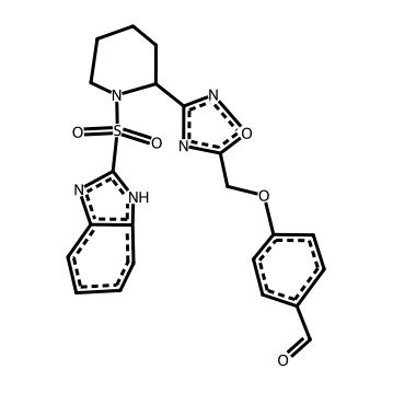 O=Cc1ccc(OCc2nc(C3CCCCN3S(=O)(=O)c3nc4ccccc4[nH]3)no2)cc1